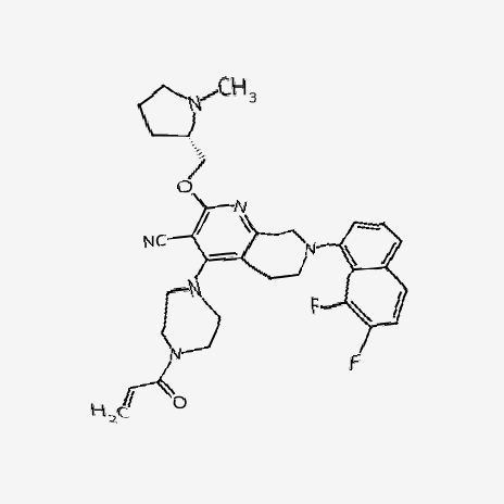 C=CC(=O)N1CCN(c2c(C#N)c(OC[C@@H]3CCCN3C)nc3c2CCN(c2cccc4ccc(F)c(F)c24)C3)CC1